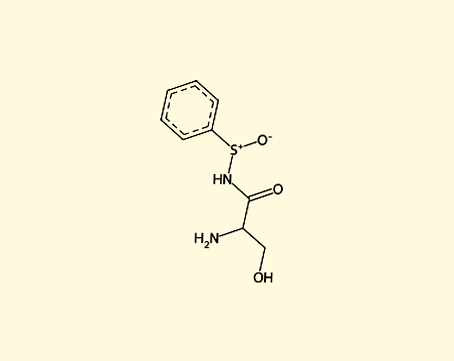 NC(CO)C(=O)N[S+]([O-])c1ccccc1